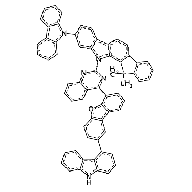 CC1(C)c2ccccc2-c2ccc3c4ccc(-n5c6ccccc6c6ccccc65)cc4n(-c4nc(-c5cccc6c5oc5ccc(-c7cccc8[nH]c9ccccc9c78)cc56)c5ccccc5n4)c3c21